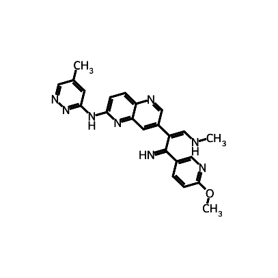 CN/C=C(\C(=N)c1ccc(OC)nc1)c1cnc2ccc(Nc3cc(C)cnn3)nc2c1